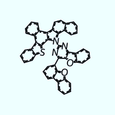 c1ccc2c(c1)ccc1c3c4ccccc4c4c5ccccc5sc4c3n(-c3nc(-c4cccc5c4oc4ccccc45)c4oc5ccccc5c4n3)c21